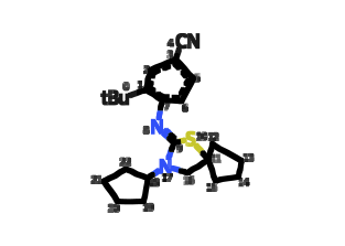 CC(C)(C)c1cc(C#N)ccc1N=C1SC2(CCCC2)CN1C1CCCC1